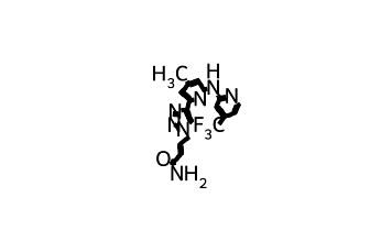 Cc1cc(Nc2cc(C(F)(F)F)ccn2)nc(-c2cn(CC=CC(N)=O)nn2)c1